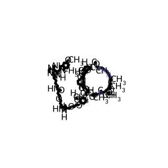 COc1ccc2[nH]c(-c3nn(CCCCNC(=O)CCOCCN4C=C(COCCO[C@@H]5CC[C@@H](C[C@@H](C)[C@@H]6CC(=O)[C@H](C)/C=C(\C)[C@@H](O)[C@@H](OC)C(=O)[C@H](C)C[C@H](C)/C=C/C=C/C=C(\C)[C@@H](OC)C[C@@H]7CC[C@@H](C)[C@@](O)(O7)C(=O)C(=O)N7CCCC[C@H]7C(=O)O6)C[C@H]5OC)NN4)c4ncnc(N)c34)cc2c1